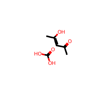 CC(=O)/C=C(/C)O.O=C(O)O